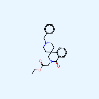 CCOC(=O)CN1CC2(CCN(Cc3ccccc3)CC2)c2ccccc2C1=O